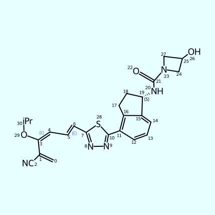 C=C(C#N)/C(=C\C=C\c1nnc(-c2cccc3c2CC[C@@H]3NC(=O)N2CC(O)C2)s1)OC(C)C